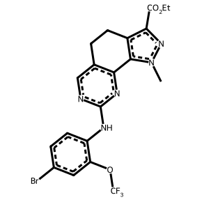 CCOC(=O)c1nn(C)c2c1CCc1cnc(Nc3ccc(Br)cc3OC(F)(F)F)nc1-2